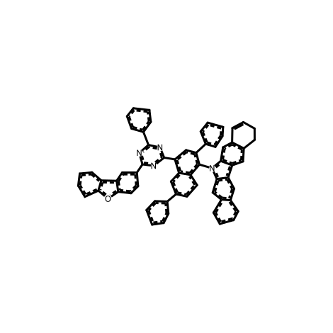 C1=Cc2cc3c(cc2CC1)c1cc2ccccc2cc1n3-c1c(-c2ccccc2)cc(-c2nc(-c3ccccc3)nc(-c3ccc4oc5ccccc5c4c3)n2)c2cc(-c3ccccc3)ccc12